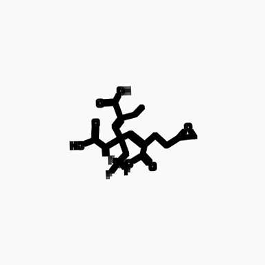 C=C(C(=O)O)C(C=C(CC)C(=O)O)(C=C(CCC1CO1)C(=O)O)CC(F)(F)F